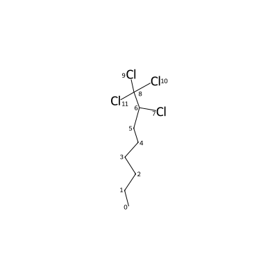 CCCCCCC(Cl)C(Cl)(Cl)Cl